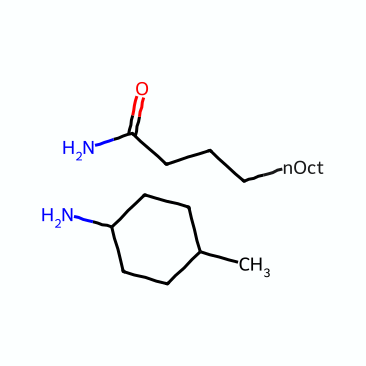 CC1CCC(N)CC1.CCCCCCCCCCCC(N)=O